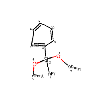 CCCCCO[Si](CCC)(OCCCCC)c1ccccc1